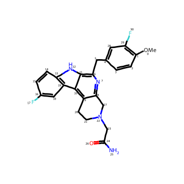 COc1ccc(Cc2nc3c(c4c2[nH]c2ccc(F)cc24)CCN(CC(N)=O)C3)cc1F